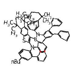 CCCCc1ccc(N2c3cccc4c3B(c3c2sc2cc5c(cc32)C(C)(C)CCC5(C)C)N(c2ccc3c(c2)C(C)(C)CCC3(C)C)c2cc(-c3ccccc3)c(-c3ccccc3)cc2-4)c(-c2ccccc2)c1